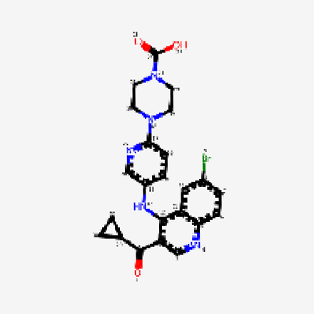 O=C(c1cnc2ccc(Br)cc2c1Nc1ccc(N2CCN(C(=O)O)CC2)nc1)C1CC1